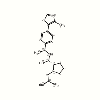 Cc1ncsc1-c1ccc([C@H](C)NC(O)[C@@H]2CCCN2C[C@@H](N)C(C)(C)C)cc1